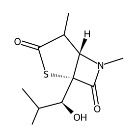 CC1C(=O)S[C@@]2([C@@H](O)C(C)C)C(=O)N(C)[C@@H]12